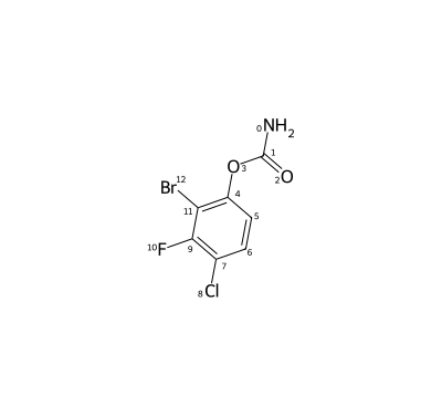 NC(=O)Oc1ccc(Cl)c(F)c1Br